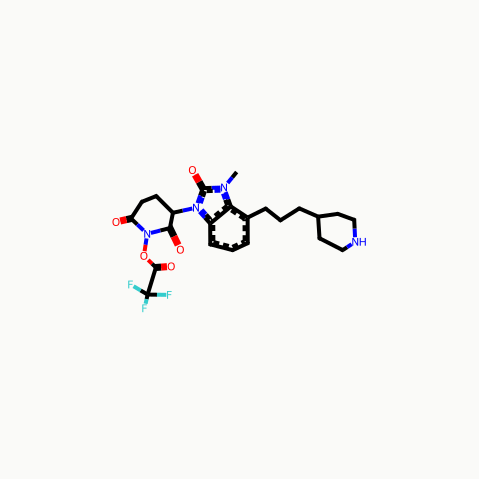 Cn1c(=O)n(C2CCC(=O)N(OC(=O)C(F)(F)F)C2=O)c2cccc(CCCC3CCNCC3)c21